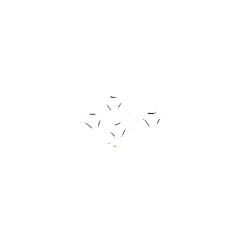 Cc1cccc(N(CCc2ccccc2)Nc2ccc(Oc3ccccc3)c(S(=O)(=O)O)c2)c1